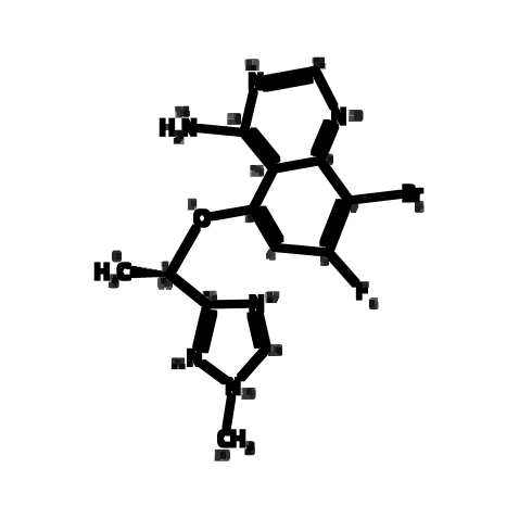 C[C@H](Oc1cc(F)c(Br)c2ncnc(N)c12)c1ncn(C)n1